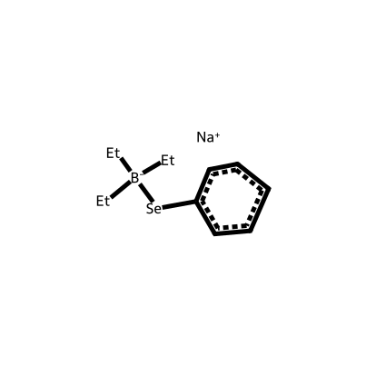 CC[B-](CC)(CC)[Se]c1ccccc1.[Na+]